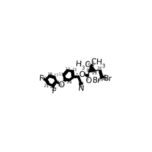 CC1(C)[C@H](C(=O)OC(C#N)c2cccc(Oc3ccc(F)cc3F)c2)[C@@H]1C=C(Br)Br